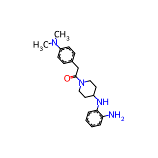 CN(C)c1ccc(CC(=O)N2CCC(Nc3ccccc3N)CC2)cc1